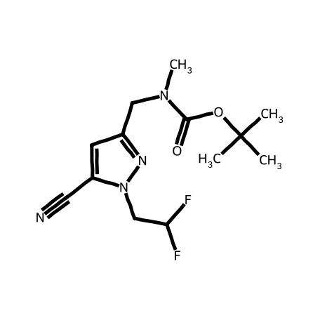 CN(Cc1cc(C#N)n(CC(F)F)n1)C(=O)OC(C)(C)C